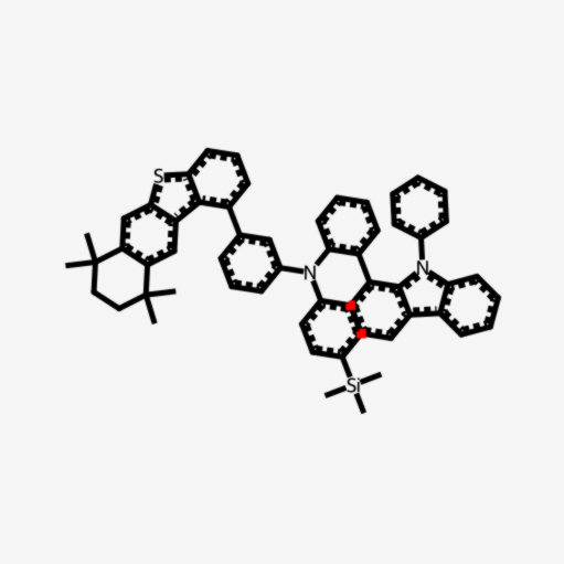 CC1(C)CCC(C)(C)c2cc3c(cc21)sc1cccc(-c2cccc(N(c4ccc([Si](C)(C)C)cc4)c4ccccc4-c4cccc5c6ccccc6n(-c6ccccc6)c45)c2)c13